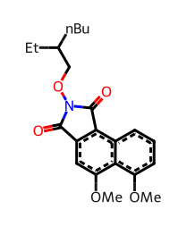 CCCCC(CC)CON1C(=O)c2cc(OC)c3c(OC)cccc3c2C1=O